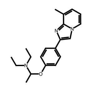 CCN(CC)C(C)Oc1ccc(-c2cn3cccc(C)c3n2)cc1